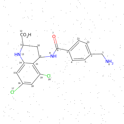 NCc1ccc(C(=O)NC2CC(C(=O)O)Nc3cc(Cl)cc(Cl)c32)cc1